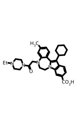 CCN1CCN(C(=O)CN2CCn3c(c(C4CCCCC4)c4ccc(C(=O)O)cc43)-c3ccc(C)cc32)CC1